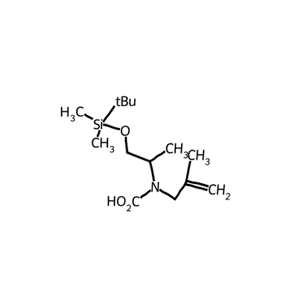 C=C(C)CN(C(=O)O)C(C)CO[Si](C)(C)C(C)(C)C